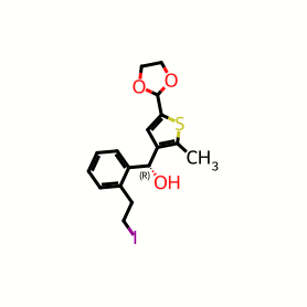 Cc1sc(C2OCCO2)cc1[C@H](O)c1ccccc1CCI